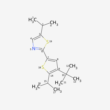 CC(C)c1cnc(-c2cc(C(C)(C)C)c(C(C)C)s2)s1